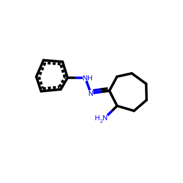 NC1CCCCCC1=NNc1ccccc1